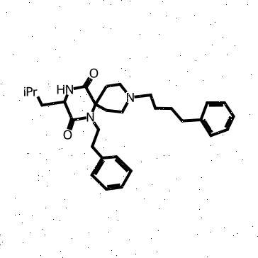 CC(C)CC1NC(=O)C2(CCN(CCCCc3ccccc3)CC2)N(CCc2ccccc2)C1=O